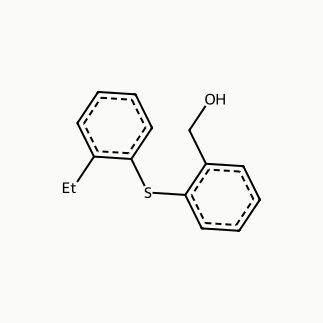 CCc1ccccc1Sc1ccccc1CO